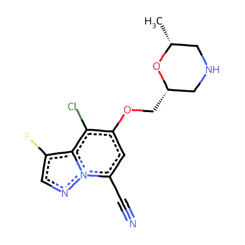 C[C@@H]1CNC[C@H](COc2cc(C#N)n3ncc(F)c3c2Cl)O1